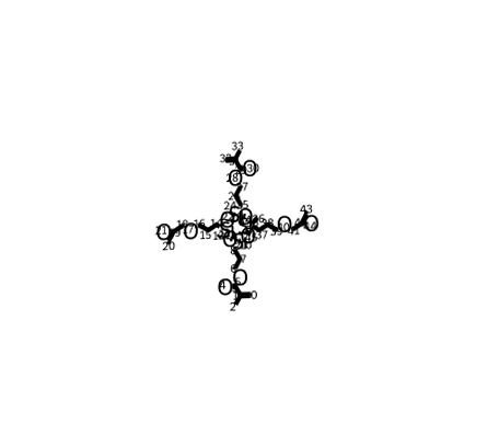 C=C(C)C(=O)OCCC[Si]1(C)O[Si](C)(CCCOCC2CO2)O[Si](C)(CCCOC(=O)C(=C)C)O[Si](C)(CCCOCC2CO2)O1